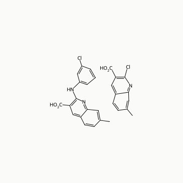 Cc1ccc2cc(C(=O)O)c(Cl)nc2c1.Cc1ccc2cc(C(=O)O)c(Nc3cccc(Cl)c3)nc2c1